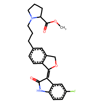 COC(=O)C1CCCN1CCCc1ccc2c(c1)COC2=C1C(=O)Nc2ccc(F)cc21